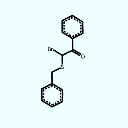 O=C(c1ccccc1)C(Br)SCc1ccccc1